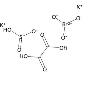 O=C(O)C(=O)O.O=S([O-])O.[K+].[K+].[O-][Br+2]([O-])[O-]